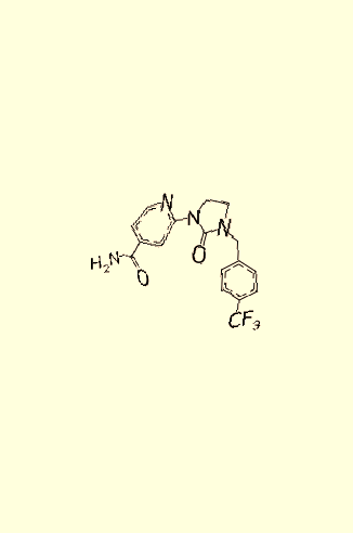 NC(=O)c1ccnc(N2CCN(Cc3ccc(C(F)(F)F)cc3)C2=O)c1